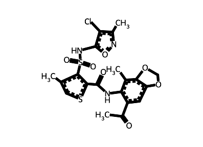 CC(=O)c1cc2c(c(C)c1NC(=O)c1scc(C)c1S(=O)(=O)Nc1onc(C)c1Cl)OCO2